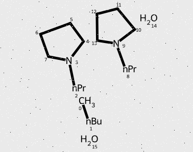 CCCCC.CCCN1CCCC1.CCCN1CCCC1.O.O